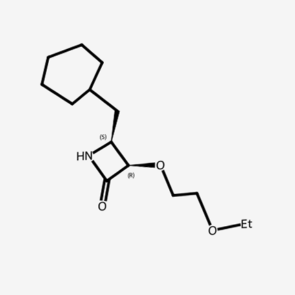 CCOCCO[C@H]1C(=O)N[C@H]1CC1CCCCC1